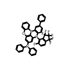 Fc1ccc2c(c1N1c3ccc(-c4ccccc4)cc3B3c4ccccc4Oc4cc(N(c5ccccc5)c5ccccc5)cc1c43)C(F)(F)C(F)(F)C2(F)F